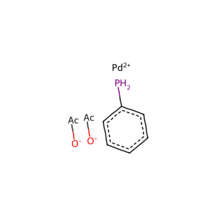 CC(=O)[O-].CC(=O)[O-].Pc1ccccc1.[Pd+2]